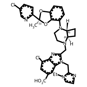 CCn1ccnc1Cn1c(CN2CCN(c3cccc4c3O[C@@](C)(c3ccc(Cl)cn3)O4)[C@@H]3CC[C@H]32)nc2c(Cl)cc(C(=O)O)cc21